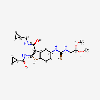 CCOC(CNC(=S)N[C@H]1CCc2sc(NC(=O)C3CC3)c(C(=O)NCC3CC3)c2C1)OCC